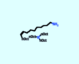 CCCCCCCC/C=C\CCCCCCCCN.CCCCCCCCN(CCCCCCCC)CCCCCCCC